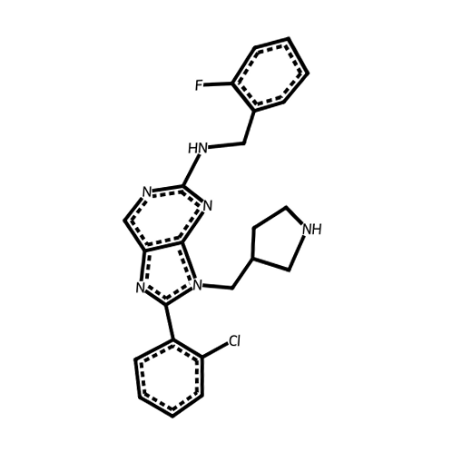 Fc1ccccc1CNc1ncc2nc(-c3ccccc3Cl)n(CC3CCNC3)c2n1